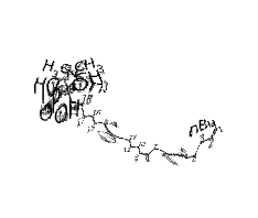 CCCC/C=C\CCCCC/C=C\CCCCCCCCCCC(O)(C[N+](C)(C)C)P(=O)(O)O